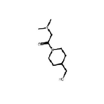 CN(C)CC(=O)N1CCC(CO)CC1